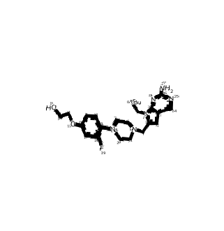 CC(C)(C)Cn1c(CN2CCN(c3ccc(OCCO)cc3F)CC2)cc2cnc(N)nc21